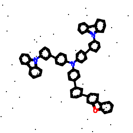 c1cc(-c2ccc(N(c3ccc(-c4cccc(-n5c6ccccc6c6ccccc65)c4)cc3)c3ccc(-c4cccc(-n5c6ccccc6c6ccccc65)c4)cc3)cc2)cc(-c2ccc3c(c2)oc2ccccc23)c1